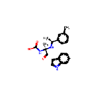 Cc1cccc([C@H](C)N[C@@](C)(C=O)NC(=O)O)c1.c1ccc2[nH]ccc2c1